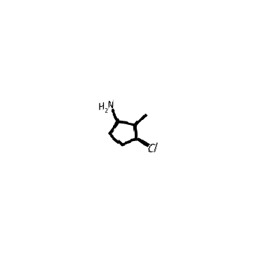 CC1C(N)CCC1Cl